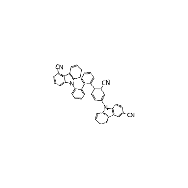 N#Cc1ccc2c(c1)c1c(n2C2=CC(C#N)C(c3ccccc3-c3ccccc3-n3c4c(c5c(C#N)cccc53)C=CCC4)C=C2)C=CCC1